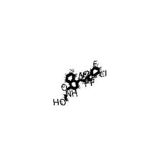 O=C(NCCO)c1ccc(C2=NOC(c3cc(F)cc(Cl)c3)(C(F)(F)F)C2)c2ccccc12